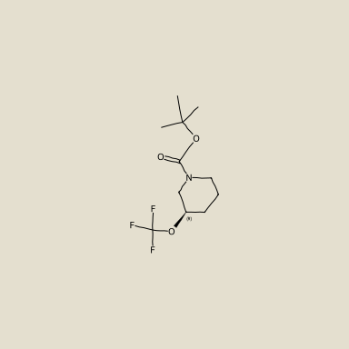 CC(C)(C)OC(=O)N1CCC[C@@H](OC(F)(F)F)C1